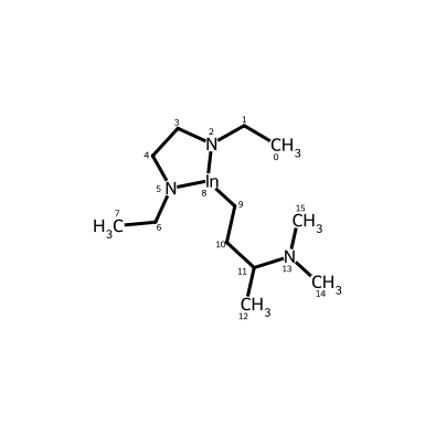 CC[N]1CC[N](CC)[In]1[CH2]CC(C)N(C)C